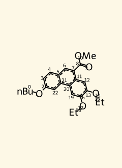 CCCCOc1ccc2cc(C(=O)OC)c3cc(OCC)c(OCC)cc3c2c1